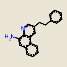 Nc1cc2ccccc2c2cc(CCc3ccccc3)cnc12